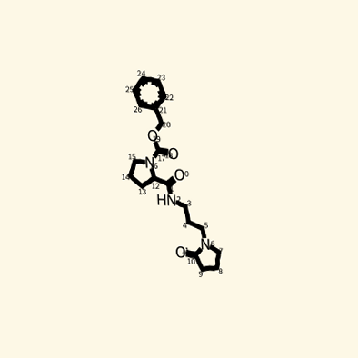 O=C(NCCCN1CCCC1=O)C1CCCN1C(=O)OCc1ccccc1